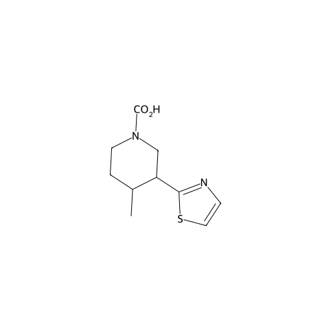 CC1CCN(C(=O)O)CC1c1nccs1